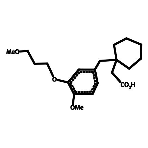 COCCCOc1cc(CC2(CC(=O)O)CCCCC2)ccc1OC